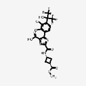 COC(=O)[C@H]1C[C@H](NC(=O)c2nc(C(=O)O)c(-c3ccc(C(O)(C(F)(F)F)C(F)(F)F)c(Cl)c3Cl)s2)C1